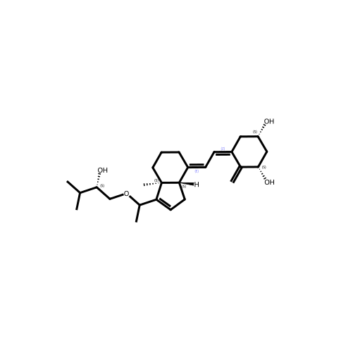 C=C1/C(=C\C=C2/CCC[C@]3(C)C(C(C)OC[C@@H](O)C(C)C)=CC[C@@H]23)C[C@H](O)C[C@@H]1O